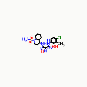 Cc1cc(N/C(=N\O)c2nonc2NC2CCN(S(N)(=O)=O)C3CCCCC23)ccc1Cl